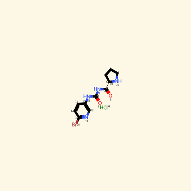 Cl.O=C(NC(=O)[C@@H]1CCCN1)Nc1ccc(Br)nc1